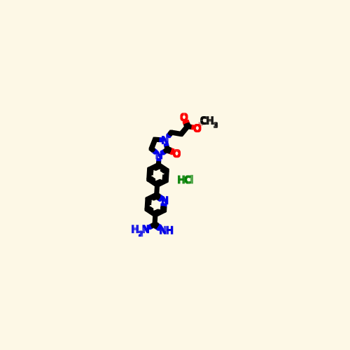 COC(=O)CCN1CCN(c2ccc(-c3ccc(C(=N)N)cn3)cc2)C1=O.Cl